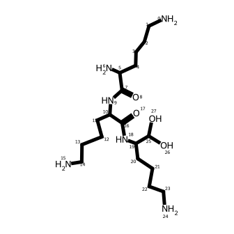 NCCCCC(N)C(=O)NC(CCCCN)C(=O)NC(CCCCN)C(O)O